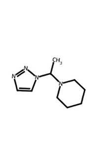 C[C](N1CCCCC1)n1ccnn1